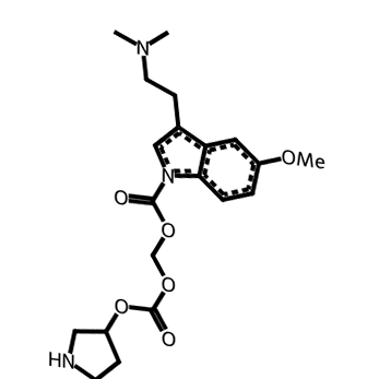 COc1ccc2c(c1)c(CCN(C)C)cn2C(=O)OCOC(=O)OC1CCNC1